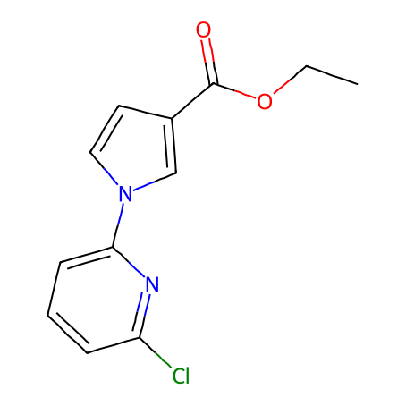 CCOC(=O)c1ccn(-c2cccc(Cl)n2)c1